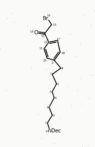 CCCCCCCCCCCCCCCCCCc1ccc(C(=O)CBr)cc1